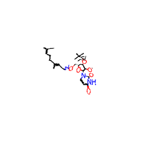 COC1C(O[Si](C)(C)C(C)(C)C)[C@@H](CO/N=C/C=C(\C)CCC=C(C)C)O[C@H]1n1ccc(=O)[nH]c1=O